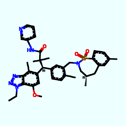 CCn1nnc2c(C)c([C@H](c3ccc(C)c(CN4C[C@@H](C)Cc5cc(C)ccc5S4(=O)=O)c3)C(C)(C)C(=O)Nc3cccnc3)cc(OC)c21